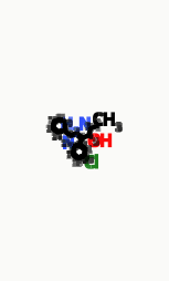 CCC(N)C(O)c1cc(-c2ccccc2)nc2ccc(Cl)cc12